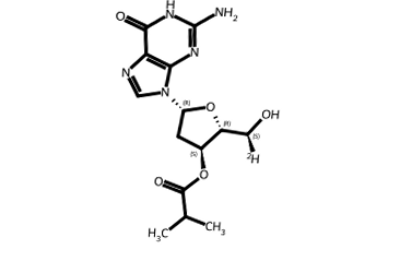 [2H][C@H](O)[C@H]1O[C@@H](n2cnc3c(=O)[nH]c(N)nc32)C[C@@H]1OC(=O)C(C)C